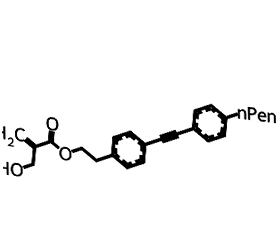 C=C(CO)C(=O)OCCc1ccc(C#Cc2ccc(CCCCC)cc2)cc1